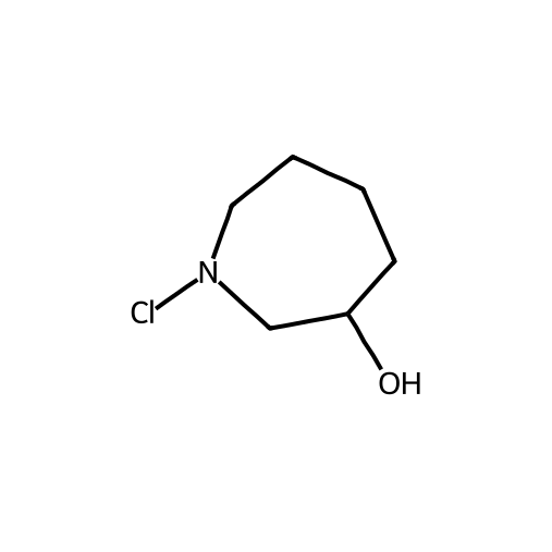 OC1CCCCN(Cl)C1